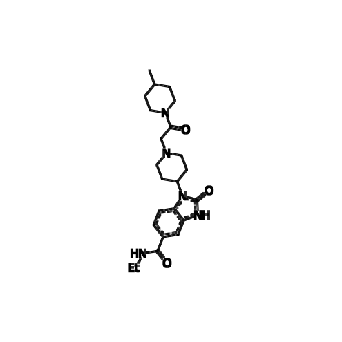 CCNC(=O)c1ccc2c(c1)[nH]c(=O)n2C1CCN(CC(=O)N2CCC(C)CC2)CC1